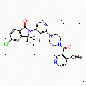 COc1ccncc1C(=O)N1CCN(c2cncc(N3C(=O)c4ccc(Cl)cc4C3(C)C)c2)CC1